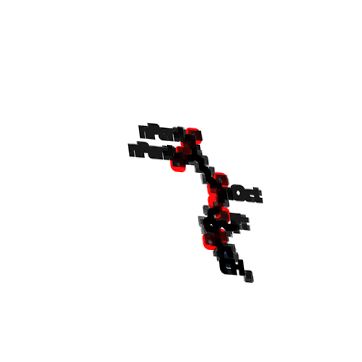 CC/C=C\CC1C(CC(=O)OCC(CCCCCCCC)OC(=O)CCCCC(COC(=O)CCCCC)COC(=O)CCCCC)CCC1OC(=O)C1CCN(C)C1